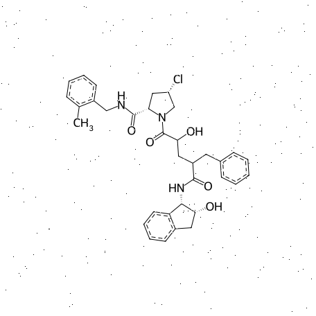 Cc1ccccc1CNC(=O)[C@@H]1C[C@H](Cl)CN1C(=O)C(O)CC(Cc1ccccc1)C(=O)N[C@H]1c2ccccc2C[C@H]1O